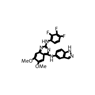 COc1cc2nc(Nc3ccc(F)c(F)c3F)nc(Nc3ccc4[nH]ncc4c3)c2cc1OC